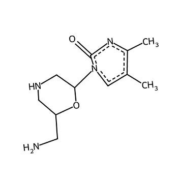 Cc1cn(C2CNCC(CN)O2)c(=O)nc1C